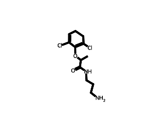 CC(OC1=C(Cl)CCC=C1Cl)C(=O)NCCCN